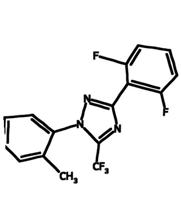 Cc1ccccc1-n1nc(-c2c(F)cccc2F)nc1C(F)(F)F